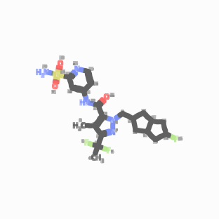 Cc1c(C(C)(F)F)nn(CC2CC3CC(F)CC3C2)c1C(=O)Nc1ccnc(S(N)(=O)=O)c1